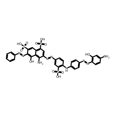 Nc1ccc(N=Nc2ccc(Nc3ccc(N=Nc4cc(S(=O)(=O)O)c5cc(S(=O)(=O)O)c(N=Nc6ccccc6)c(O)c5c4N)cc3S(=O)(=O)O)cc2)c(O)c1